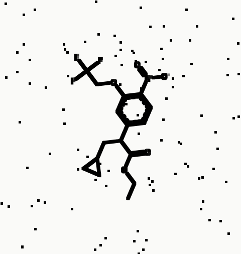 CCOC(=O)C(CC1CC1)c1ccc([N+](=O)[O-])c(OCC(F)(F)F)c1